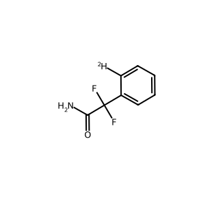 [2H]c1ccccc1C(F)(F)C(N)=O